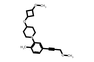 COCC#Cc1ccc(C)c(N2CCC(OC3CC(OC)C3)CC2)c1